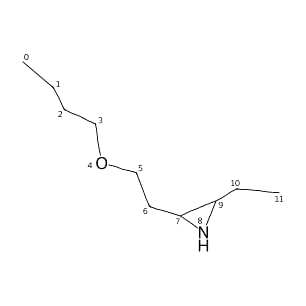 CCCCOCCC1NC1CC